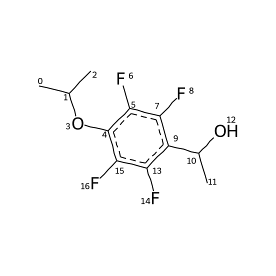 CC(C)Oc1c(F)c(F)c(C(C)O)c(F)c1F